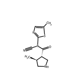 Cc1cnc(N(C#N)C(=O)[C@@H]2CNC[C@H]2C)s1